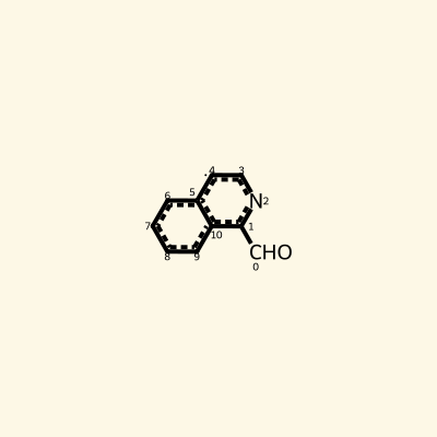 O=Cc1nc[c]c2ccccc12